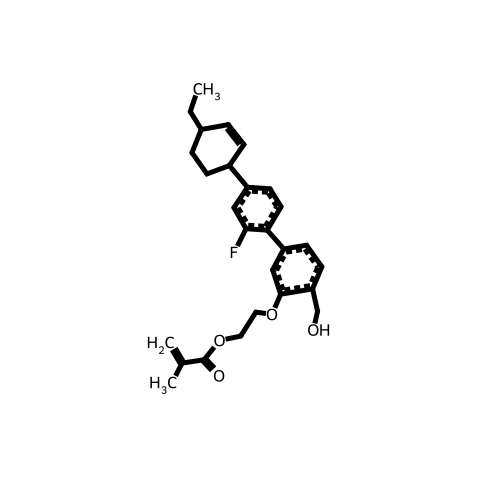 C=C(C)C(=O)OCCOc1cc(-c2ccc(C3C=CC(CC)CC3)cc2F)ccc1CO